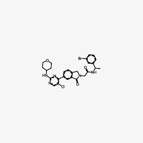 CC(NC(=O)CN1Cc2ccc(-c3nc(NC4CCOCC4)ncc3Cl)cc2C1=O)c1cccc(Br)c1